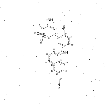 CC1C(N)=NC(c2cc(Nc3ncnc4cc(C#N)cnc34)ncc2F)CS1(=O)=O